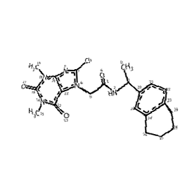 CC(NC(=O)Cn1c(Cl)nc2c1c(=O)n(C)c(=O)n2C)c1ccc2c(c1)CCCC2